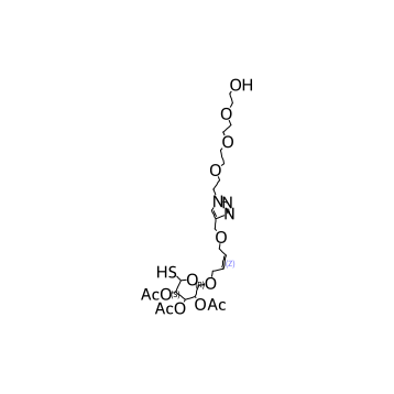 CC(=O)OC1C(OC(C)=O)[C@H](OC(C)=O)C(S)O[C@H]1OC/C=C\COCc1cn(CCOCCOCCOCCO)nn1